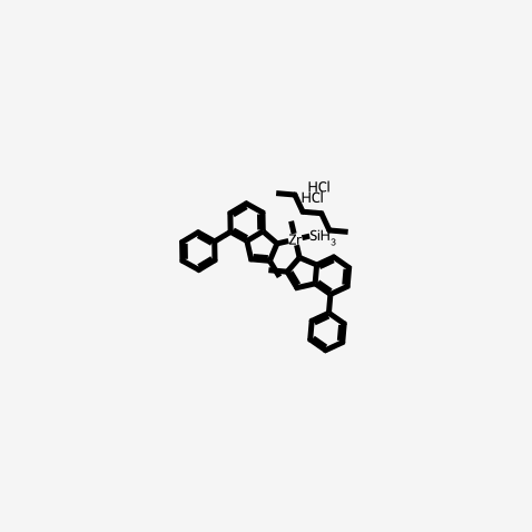 CC1=Cc2c(-c3ccccc3)cccc2[CH]1[Zr]([CH3])([SiH3])[CH]1C(C)=Cc2c(-c3ccccc3)cccc21.CCCCCC.Cl.Cl